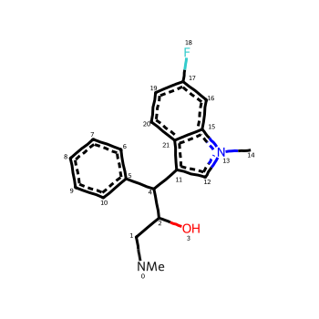 CNCC(O)C(c1ccccc1)c1cn(C)c2cc(F)ccc12